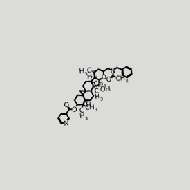 CC(=O)N(Cc1ccccc1)CC1C[C@@H](C)[C@H]2C(O1)[C@H](O)[C@@]1(C)C3CC[C@H]4C(C)(C)C(OC(=O)c5cccnc5)CCC45CC35CCC21C